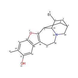 CCC1CC2CC3c4oc5cc(C)c(O)cc5c4CCN(C2)C13